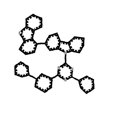 c1ccc(-c2cccc(-c3nc(-c4ccccc4)nc(-n4c5ccccc5c5ccc(-c6cccc7sc8ccccc8c67)cc54)n3)c2)cc1